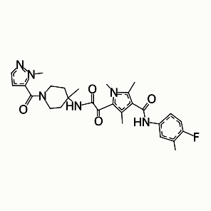 Cc1cc(NC(=O)c2c(C)c(C(=O)C(=O)NC3(C)CCN(C(=O)c4ccnn4C)CC3)n(C)c2C)ccc1F